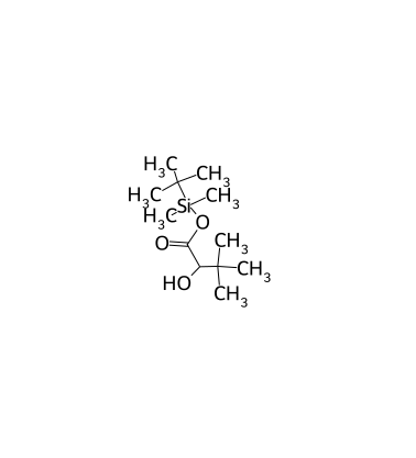 CC(C)(C)C(O)C(=O)O[Si](C)(C)C(C)(C)C